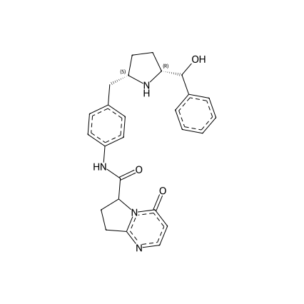 O=C(Nc1ccc(C[C@@H]2CC[C@H](C(O)c3ccccc3)N2)cc1)C1CCc2nccc(=O)n21